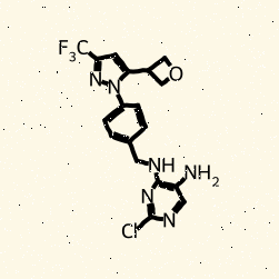 Nc1cnc(Cl)nc1NCc1ccc(-n2nc(C(F)(F)F)cc2C2COC2)cc1